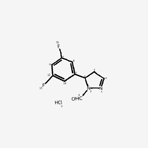 Cl.O=CN1N=CCC1c1cc(F)cc(F)c1